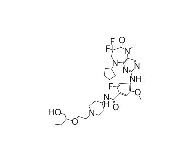 CCC(CO)OCCN1CCC(NC(=O)c2cc(OC)c(Nc3ncc4c(n3)N(C3CCCC3)CC(F)(F)C(=O)N4C)cc2F)CC1